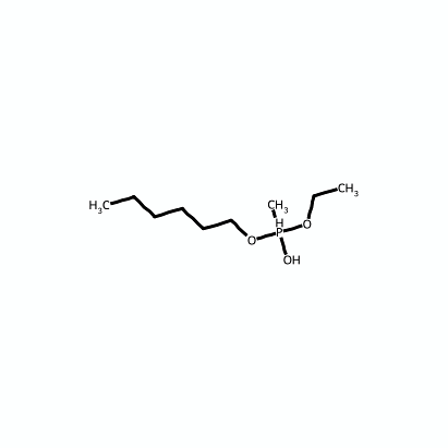 CCCCCCO[PH](C)(O)OCC